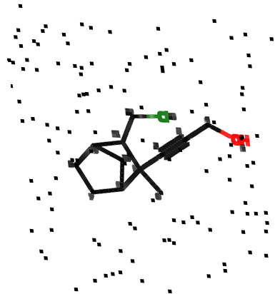 CC1(C#CCO)C2CCC(C2)C1CCl